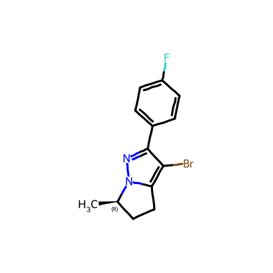 C[C@@H]1CCc2c(Br)c(-c3ccc(F)cc3)nn21